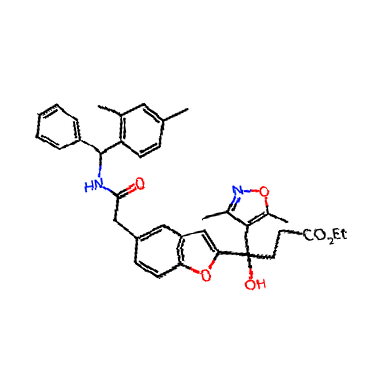 CCOC(=O)CCC(O)(c1cc2cc(CC(=O)NC(c3ccccc3)c3ccc(C)cc3C)ccc2o1)c1c(C)noc1C